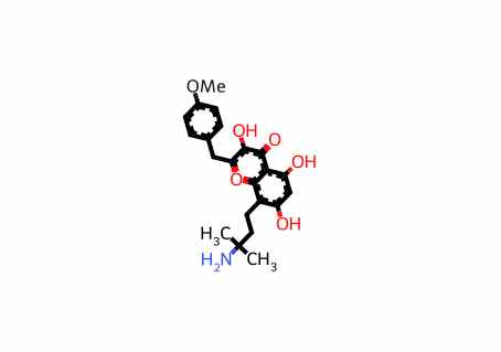 COc1ccc(Cc2oc3c(CCC(C)(C)N)c(O)cc(O)c3c(=O)c2O)cc1